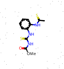 COC(=O)NC(=S)Nc1ccccc1NC(C)=S